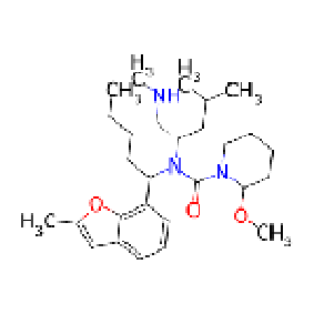 CCCCC(c1cccc2cc(C)oc12)N(C(=O)N1CCCCC1OC)[C@H](CNC)CC(C)C